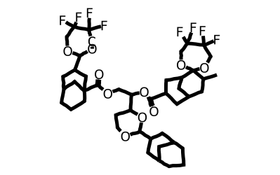 CC1CC2CC(C(=O)OC(COC(=O)C34CCCC(CC(C5OCC(F)(F)C(F)(F)CO5)C3)C4)C3CCOC(C4CC5CCCC(C5)C4)O3)CC(C2)C12OCC(F)(F)C(F)(F)CO2